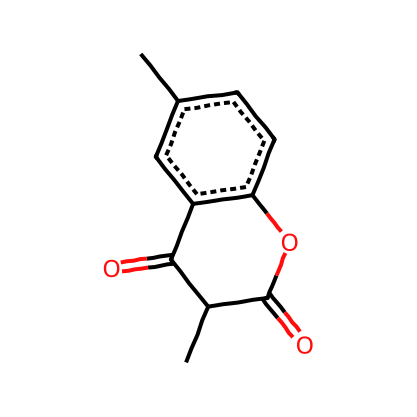 Cc1ccc2c(c1)C(=O)C(C)C(=O)O2